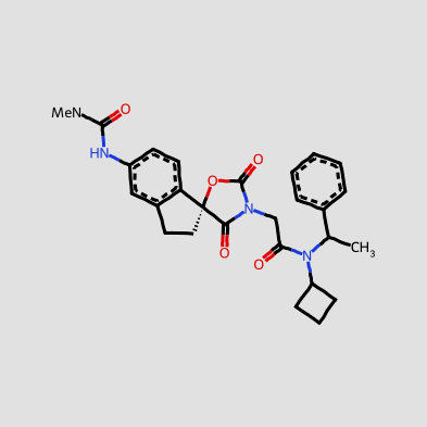 CNC(=O)Nc1ccc2c(c1)CC[C@@]21OC(=O)N(CC(=O)N(C2CCC2)C(C)c2ccccc2)C1=O